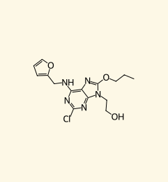 CCCOc1nc2c(NCc3ccco3)nc(Cl)nc2n1CCO